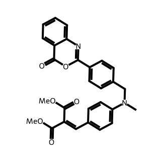 COC(=O)C(=Cc1ccc(N(C)Cc2ccc(-c3nc4ccccc4c(=O)o3)cc2)cc1)C(=O)OC